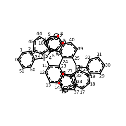 c1ccc(P(c2ccccc2)c2ccc3oc4ccccc4c3c2-c2c(P(c3ccccc3)c3ccccc3)ccc3oc4ccccc4c23)cc1